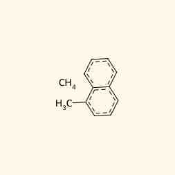 C.Cc1cccc2ccccc12